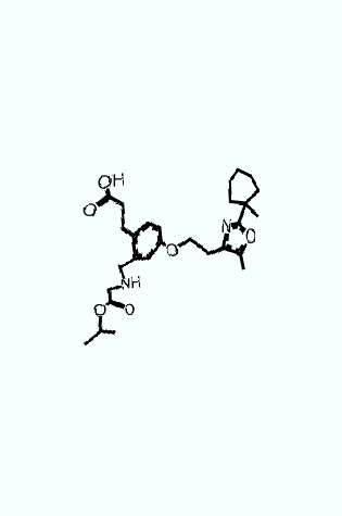 Cc1oc(C2(C)CCCCC2)nc1CCOc1ccc(CCC(=O)O)c(CNCC(=O)OC(C)C)c1